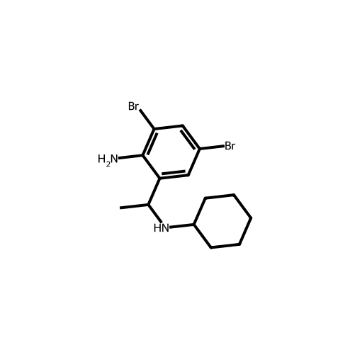 CC(NC1CCCCC1)c1cc(Br)cc(Br)c1N